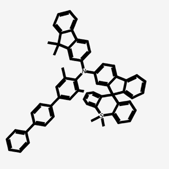 Cc1cc(-c2ccc(-c3ccccc3)cc2)cc(C)c1N(c1ccc2c(c1)C(C)(C)c1ccccc1-2)c1ccc2c(c1)C1(c3ccccc3-2)c2ccccc2S(C)(C)c2ccccc21